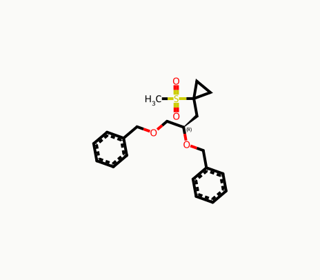 CS(=O)(=O)C1(C[C@H](COCc2ccccc2)OCc2ccccc2)CC1